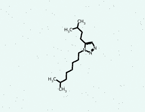 CC(C)CCCCCCn1nncc1CCC(C)C